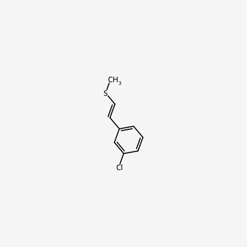 CSC=Cc1cccc(Cl)c1